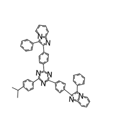 CC(C)c1ccc(-c2nc(-c3ccc(-c4nc5ccccn5c4-c4ccccc4)cc3)nc(-c3ccc(-c4nc5ccccn5c4-c4ccccc4)cc3)n2)cc1